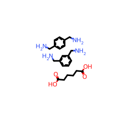 NCc1ccc(CN)cc1.NCc1cccc(CN)c1.O=C(O)CCCCC(=O)O